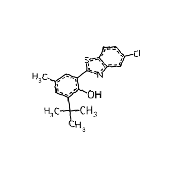 Cc1cc(-c2nc3cc(Cl)ccc3s2)c(O)c(C(C)(C)C)c1